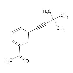 CC(=O)c1cccc(C#C[Si](C)(C)C)c1